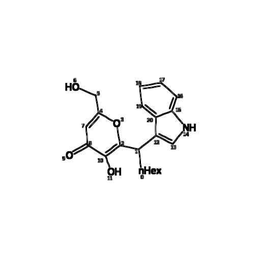 CCCCCCC(c1oc(CO)cc(=O)c1O)c1c[nH]c2ccccc12